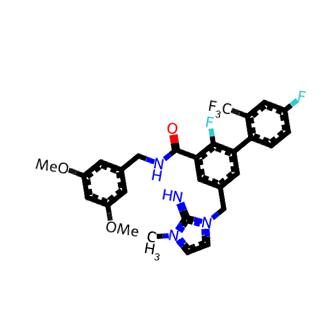 COc1cc(CNC(=O)c2cc(Cn3ccn(C)c3=N)cc(-c3ccc(F)cc3C(F)(F)F)c2F)cc(OC)c1